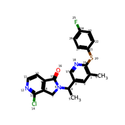 Cc1cc(C(C)N2Cc3c(ccnc3Cl)C2=O)cnc1Sc1ccc(F)cc1